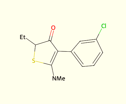 CCC1SC(NC)=C(c2cccc(Cl)c2)C1=O